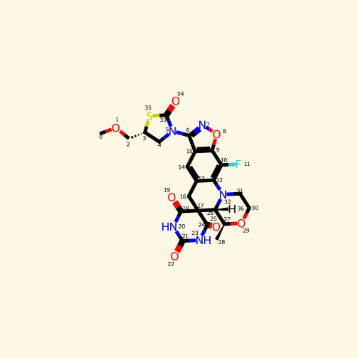 COC[C@H]1CN(c2noc3c(F)c4c(cc23)CC2(C(=O)NC(=O)NC2=O)[C@H]2[C@H](C)OCCN42)C(=O)S1